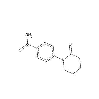 NC(=O)c1ccc(N2CCCCC2=O)cc1